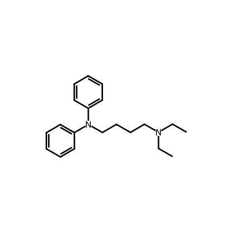 CCN(CC)CCCCN(c1ccccc1)c1ccccc1